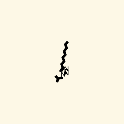 CCCCCCCCc1cn(CC(C)C)nn1